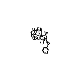 CCn1ncnc1CNCC1(CN(C(=O)OC(C)(C)C)[C@H]2CC2c2ccccc2)CC1